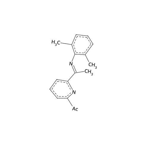 CC(=O)c1cccc(C(C)=Nc2c(C)cccc2C)n1